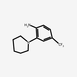 Nc1ccc(C(F)(F)F)cc1N1CCCCC1